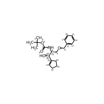 CC(C)(C)OC(=O)N[C@@H](COCc1ccccc1)[C@H](O)C1=CCCC1